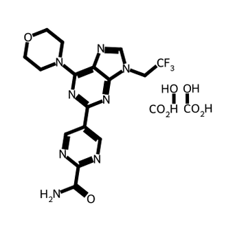 NC(=O)c1ncc(-c2nc(N3CCOCC3)c3ncn(CC(F)(F)F)c3n2)cn1.O=C(O)O.O=C(O)O